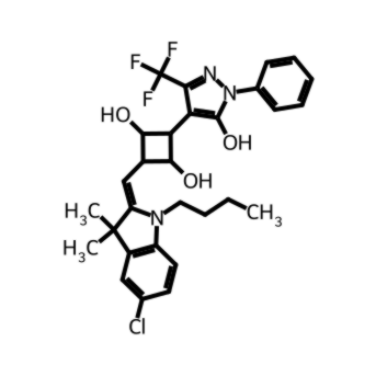 CCCCN1C(=CC2C(O)C(c3c(C(F)(F)F)nn(-c4ccccc4)c3O)C2O)C(C)(C)c2cc(Cl)ccc21